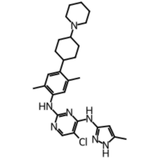 Cc1cc(Nc2nc(Nc3cc(C)c(C4CCC(N5CCCCC5)CC4)cc3C)ncc2Cl)n[nH]1